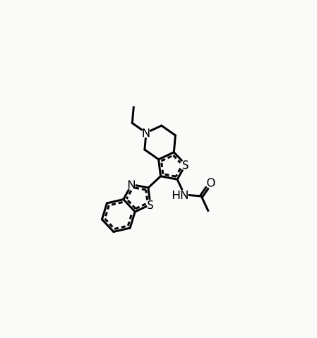 CCN1CCc2sc(NC(C)=O)c(-c3nc4ccccc4s3)c2C1